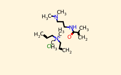 C=C(C)C(=O)NCCCN(C)C.C=CC[N+](C)(C)CC=C.[Cl-]